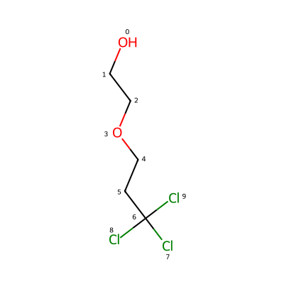 OCCOCCC(Cl)(Cl)Cl